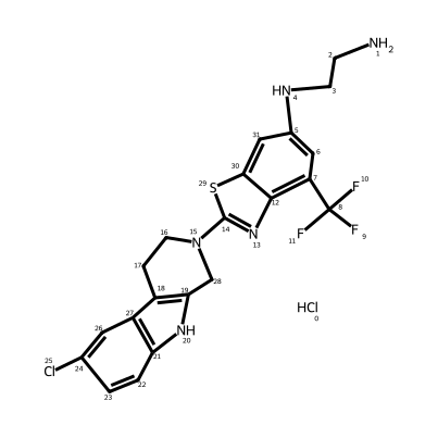 Cl.NCCNc1cc(C(F)(F)F)c2nc(N3CCc4c([nH]c5ccc(Cl)cc45)C3)sc2c1